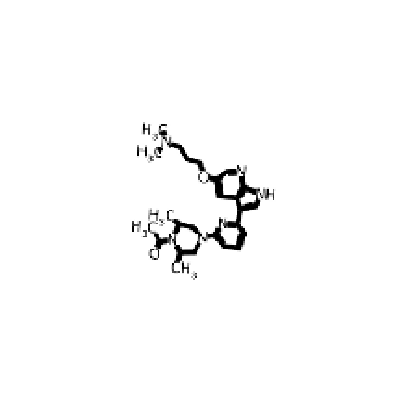 CC(=O)N1C(C)CN(c2cccc(-c3c[nH]c4ncc(OCCCN(C)C)cc34)n2)CC1C